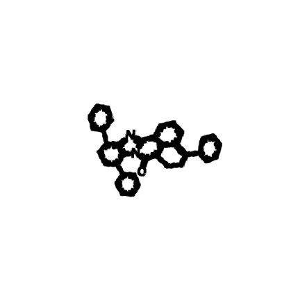 O=c1c2c3c(cccc3c3nc4c(-c5ccccc5)ccc(-c5ccccc5)c4n13)=C(c1ccccc1)CC2